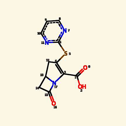 O=C(O)C1=C(Sc2ncccn2)CC2CC(=O)N12